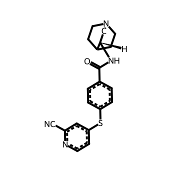 N#Cc1cc(Sc2ccc(C(=O)N[C@H]3CN4CCC3CC4)cc2)ccn1